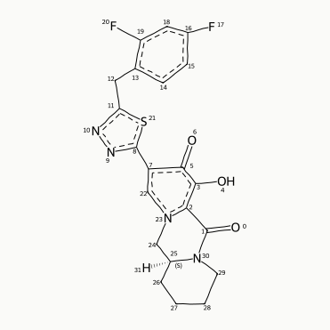 O=C1c2c(O)c(=O)c(-c3nnc(Cc4ccc(F)cc4F)s3)cn2C[C@@H]2CCCCN12